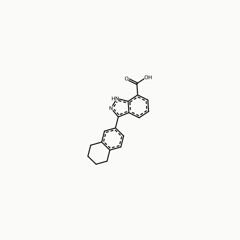 O=C(O)c1cccc2c(-c3ccc4c(c3)CCCC4)n[nH]c12